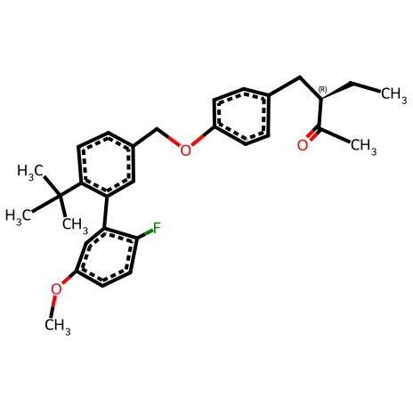 CC[C@H](Cc1ccc(OCc2ccc(C(C)(C)C)c(-c3cc(OC)ccc3F)c2)cc1)C(C)=O